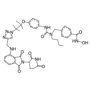 CCCCN(Cc1ccc(C(=O)NO)cc1)C(=O)Nc1ccc(OC(C)(C)C(C)(C)n2cc(CNc3cccc4c3C(=O)N(C3CCC(=O)NC3=O)C4=O)nn2)cc1